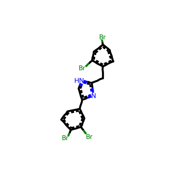 Brc1ccc(Cc2nc(-c3ccc(Br)c(Br)c3)c[nH]2)c(Br)c1